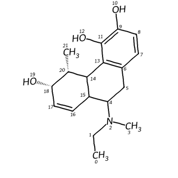 CCN(C)C1Cc2ccc(O)c(O)c2C2C1C=C[C@H](O)[C@@H]2C